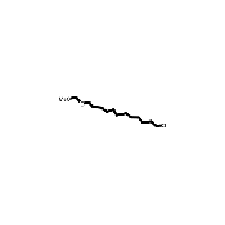 COCOCCCCCCCCCCCCCl